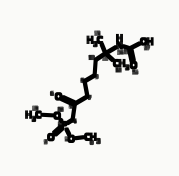 COP(=O)(CC(=O)CCCCC(C)(C)NC(=O)O)OC